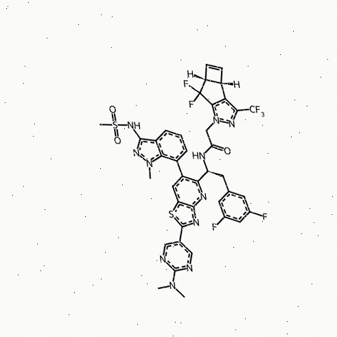 CN(C)c1ncc(-c2nc3nc([C@H](Cc4cc(F)cc(F)c4)NC(=O)Cn4nc(C(F)(F)F)c5c4C(F)(F)[C@@H]4C=C[C@H]54)c(-c4cccc5c(NS(C)(=O)=O)nn(C)c45)cc3s2)cn1